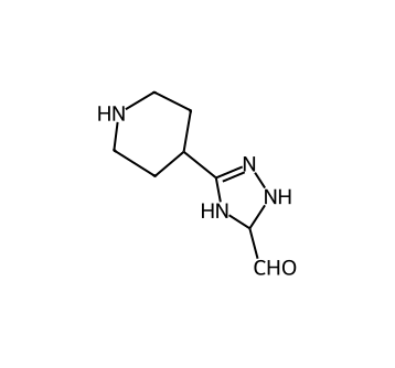 O=CC1NN=C(C2CCNCC2)N1